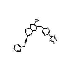 Oc1cc2ccc(C#CCc3ccccc3)cc2cc1Cc1ccc(-n2cnnn2)cc1